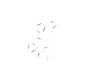 Cc1ncn(-c2ccnc(C(=O)Nc3cccc(C(=N)N(C=N)C4CC4)n3)c2)c1C